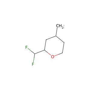 [CH2]C1CCOC(C(F)F)C1